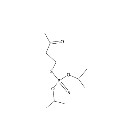 CC(=O)CCSP(=S)(OC(C)C)OC(C)C